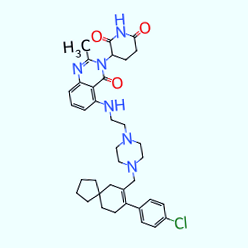 Cc1nc2cccc(NCCN3CCN(CC4=C(c5ccc(Cl)cc5)CCC5(CCCC5)C4)CC3)c2c(=O)n1C1CCC(=O)NC1=O